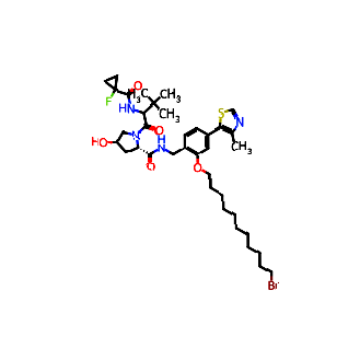 Cc1ncsc1-c1ccc(CNC(=O)[C@@H]2C[C@@H](O)CN2C(=O)C(NC(=O)C2(F)CC2)C(C)(C)C)c(OCCCCCCCCCCCBr)c1